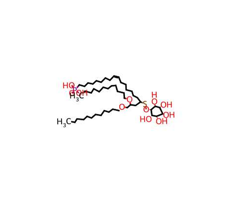 CCCCCCCCCCCCOCC(CC(CCCCCC/C=C\CCCCCCCCP(=O)(O)O)SO[C@@H]1[C@@H](O)[C@H](O)[C@@H](O)[C@H](O)[C@@H]1O)OCCCCCCCCCCCC